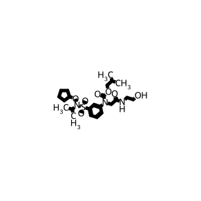 CC(C)COC(=O)N(CC(=O)NCCO)c1cccc(S(=O)(=O)N(OC2CCCC2)C(C)C)c1